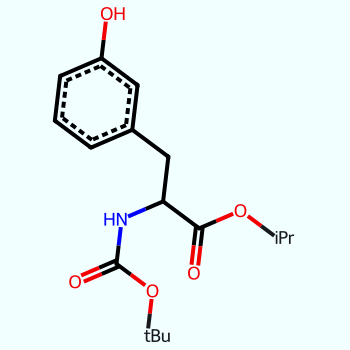 CC(C)OC(=O)C(Cc1cccc(O)c1)NC(=O)OC(C)(C)C